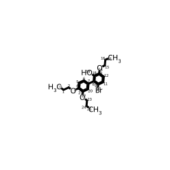 CCCOc1ccc(-c2c(Br)ccc(OCCC)c2O)cc1OCCC